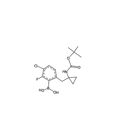 CC(C)(C)OC(=O)NC1(Cc2ccc(Cl)c(F)c2B(O)O)CC1